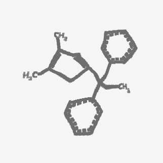 CC1=C(C)CC(C(C)(c2ccccc2)c2ccccc2)=C1